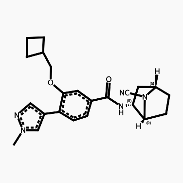 Cn1cc(-c2ccc(C(=O)N[C@@H]3C[C@@H]4CC[C@H]3N4C#N)cc2OCC2CCC2)cn1